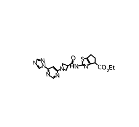 CCOC(=O)C1CCc2sc(NC(=O)C3CN(c4cc(-n5cncn5)ncn4)C3)nc21